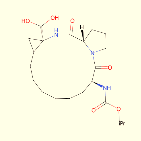 CC(C)OC(=O)N[C@H]1CCCCCC(C)C2C[C@@]2(C(O)O)NC(=O)[C@@H]2CCCN2C1=O